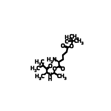 CC(N[C@@H](C)C(=O)C(C)C)OC(=O)[C@@H](N)CCCC(=O)OC(C)(C)C